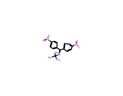 CC(C)(C)N=C(c1ccc([N+](=O)[O-])cc1)c1ccc([N+](=O)[O-])cc1